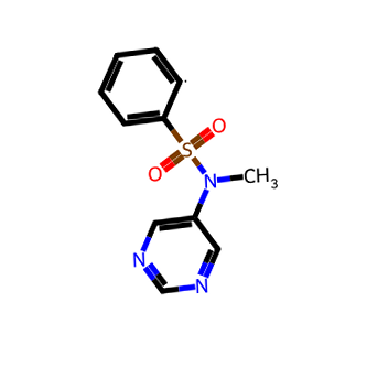 CN(c1cncnc1)S(=O)(=O)c1[c]cccc1